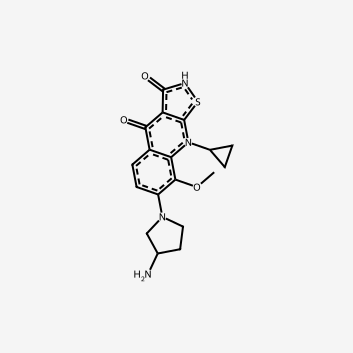 COc1c(N2CCC(N)C2)ccc2c(=O)c3c(=O)[nH]sc3n(C3CC3)c12